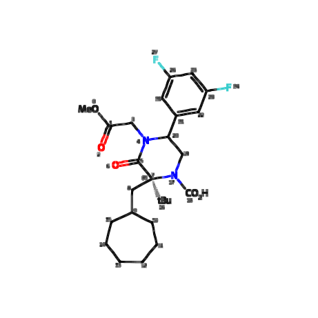 COC(=O)CN1C(=O)[C@@](CC2CCCCCC2)(C(C)(C)C)N(C(=O)O)CC1c1cc(F)cc(F)c1